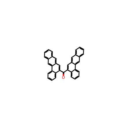 O=C(c1cc2cc3ccccc3cc2c2ccccc12)c1cc2cc3ccccc3cc2c2ccccc12